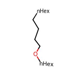 [CH2]CCCCCOCCCCCCCCCC